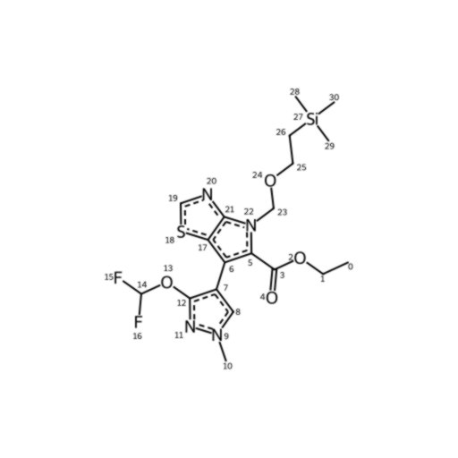 CCOC(=O)c1c(-c2cn(C)nc2OC(F)F)c2scnc2n1COCC[Si](C)(C)C